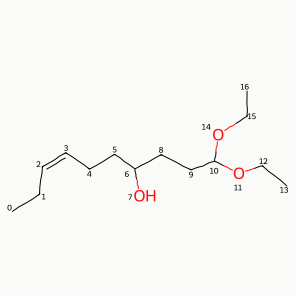 CC/C=C\CCC(O)CCC(OCC)OCC